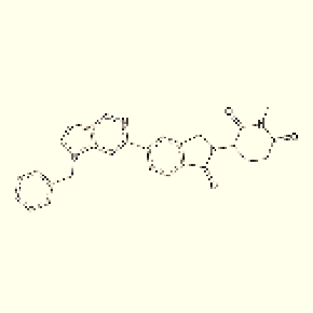 O=C1CCC(N2Cc3cc(-c4cc5c(ccn5Cc5ccccc5)cn4)ccc3C2=O)C(=O)N1I